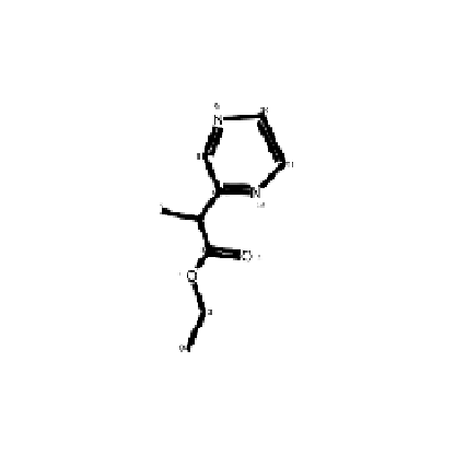 CCOC(=O)C(C)c1cnccn1